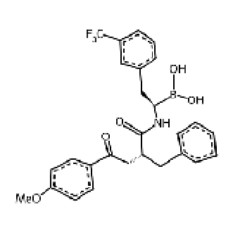 COc1ccc(C(=O)C[C@@H](Cc2ccccc2)C(=O)N[C@@H](Cc2cccc(C(F)(F)F)c2)B(O)O)cc1